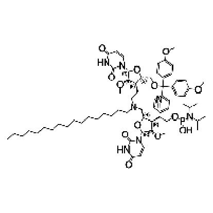 CCCCCCCCCCCCCCCCCN(CC[C@H]1[C@@H](OC)[C@H](n2ccc(=O)[nH]c2=O)O[C@@H]1COC(c1ccccc1)(c1ccc(OC)cc1)c1ccc(OC)cc1)C[C@@H]1O[C@@H](n2ccc(=O)[nH]c2=O)[C@H](OC)[C@@H]1C(C#N)COP(O)N(C(C)C)C(C)C